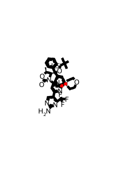 C[C@@H]1OC(=O)N(c2cc(-c3cnc(N)nc3C(F)(F)F)nc(N3CCOCC3)n2)[C@@H]1C(O[SiH2]C(C)(C)C)(c1ccccc1)c1ccccc1